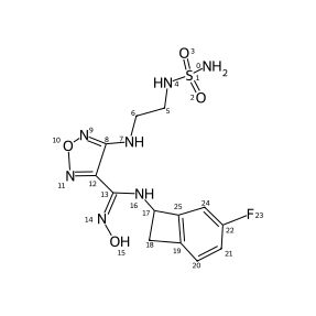 NS(=O)(=O)NCCNc1nonc1/C(=N/O)NC1Cc2ccc(F)cc21